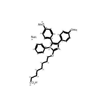 COc1ccc(-c2nc(OCCCCCCCC(=O)O)n(-c3ccccc3)c2-c2ccc(OC)cc2)cc1.[NaH]